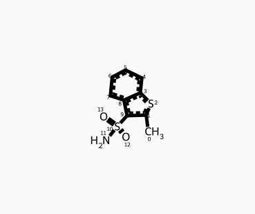 Cc1sc2ccccc2c1S(N)(=O)=O